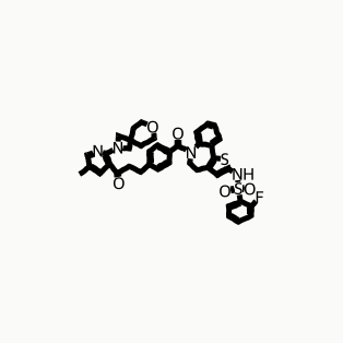 Cc1cnc(N2CC3(CCOCC3)C2)c(C(=O)CCc2ccc(C(=O)N3CCc4cc(NS(=O)(=O)c5ccccc5F)sc4-c4ccccc43)cc2)c1